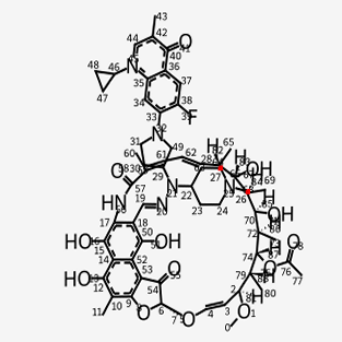 CO[C@H]1/C=C/O[C@@]2(C)Oc3c(C)c(O)c4c(O)c(c(/C=N/N(C5CCN(C)CC5)C5CCN(c6cc7c(cc6F)c(=O)c(C)cn7C6CC6)C5)c(O)c4c3C2=O)NC(=O)/C(C)=C\C=C\[C@H](C)[C@H](O)[C@@H](C)[C@@H](O)[C@@H](C)[C@H](OC(C)=O)[C@@H]1C